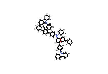 c1ccc(-c2cccc(-c3ccccc3N(c3ccc(-c4ccc(-n5c6ccccc6c6ccccc65)cc4)cc3)c3ccc(-c4ccc5c(c4)C4(c6ccccc6-5)c5ccccc5-n5c6ccccc6c6cccc4c65)cc3)c2)cc1